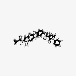 Cn1cc(C(=O)Nc2ccc(OC3=NN4C=C(NC(=O)C5CC5)NC4C=C3)c(F)c2)c(=O)n1-c1ccccc1